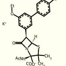 CCOc1cc(-c2ccc(Cl)cc2)cc([C@@H]2C(=O)N3[C@@H]2SC(C)(C)[C@]3(NC(C)=O)C(=O)[O-])c1.[K+]